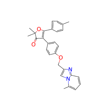 Cc1ccc(C2=C(c3ccc(OCc4cn5c(C)cccc5n4)cc3)C(=O)C(C)(C)O2)cc1